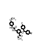 COC(=O)c1cc(NC(=O)Nc2ccc(OC)cc2)ccc1OC(c1ccc(F)cc1)c1ccc(F)cc1